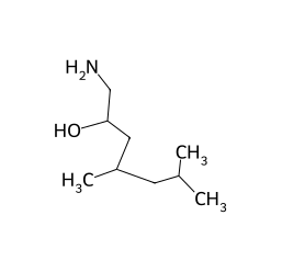 CC(C)CC(C)CC(O)CN